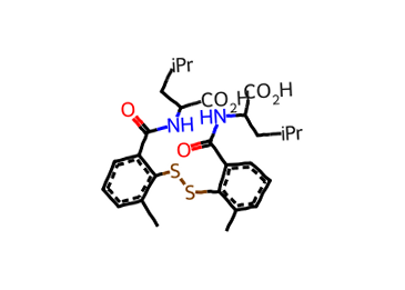 Cc1cccc(C(=O)NC(CC(C)C)C(=O)O)c1SSc1c(C)cccc1C(=O)NC(CC(C)C)C(=O)O